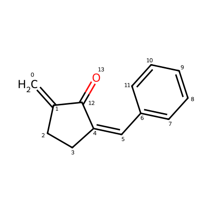 C=C1CCC(=Cc2ccccc2)C1=O